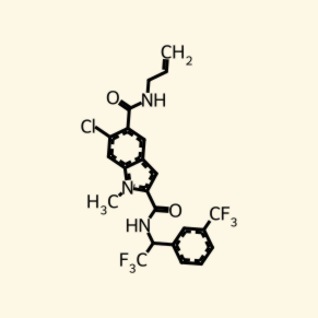 C=CCNC(=O)c1cc2cc(C(=O)NC(c3cccc(C(F)(F)F)c3)C(F)(F)F)n(C)c2cc1Cl